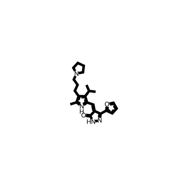 Cc1[nH]c(C=C2C(=O)NN=C2c2ccco2)c(C(C)C)c1CCCN1CCCC1